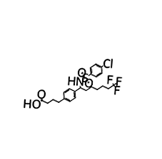 O=C(O)CCCc1ccc(C(CCCCCC(F)(F)F)NS(=O)(=O)c2ccc(Cl)cc2)cc1